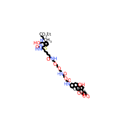 CCOC(=O)CC/C(C)=N/C(=C(\O)N1C(=O)NC2C(CCCCC(=O)NCCOCCOCCNC(=O)COCC(=O)NC3CCC4(C)C(CCC5C4CC(O)C4(C)C(C6=CC(=O)OC6)CCC54O)C3)SCC21)c1ccccc1